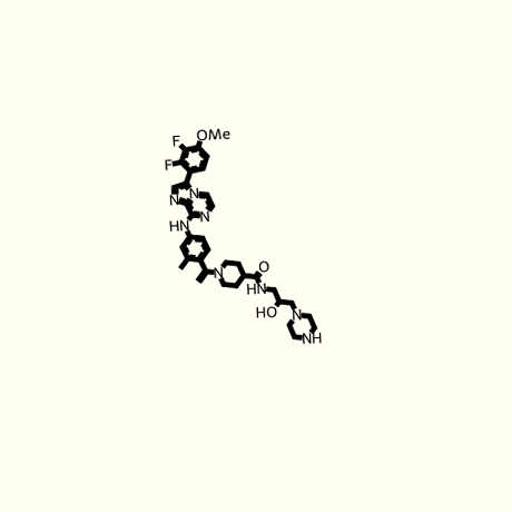 C=C(c1ccc(Nc2nccn3c(-c4ccc(OC)c(F)c4F)cnc23)cc1C)N1CCC(C(=O)NCC(O)CN2CCNCC2)CC1